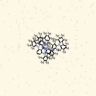 [2H]c1c([2H])c([2H])c2c(c1[2H])c1c([2H])c([2H])c([2H])c([2H])c1n2-c1nc(-c2c(-n3c4c([2H])c([2H])c([2H])c([2H])c4c4c([2H])c([2H])c([2H])c([2H])c43)cccc2-n2c3c([2H])c([2H])c([2H])c([2H])c3c3c([2H])c([2H])c([2H])c([2H])c32)nc(-n2c3c([2H])c([2H])c([2H])c([2H])c3c3c([2H])c(-n4c5c([2H])c([2H])c([2H])c([2H])c5c5c([2H])c([2H])c([2H])c([2H])c54)c([2H])c([2H])c32)n1